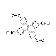 O=Cc1ccc(C(=C(c2ccc(C=O)cc2)c2ccc(C=O)cc2)c2ccc(C=O)cc2)cc1